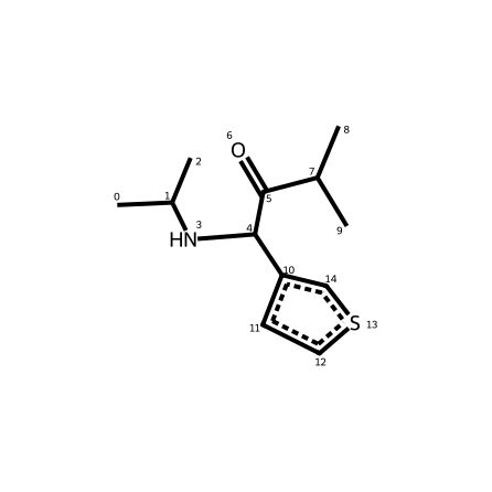 CC(C)NC(C(=O)C(C)C)c1ccsc1